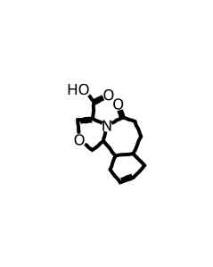 O=C(O)C1=COCC2C3CC=CCC3CCC(=O)N12